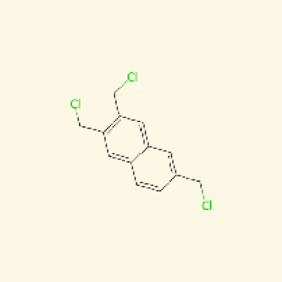 ClCc1ccc2cc(CCl)c(CCl)cc2c1